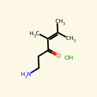 CC(C)=C(C)C(=O)CCN.Cl